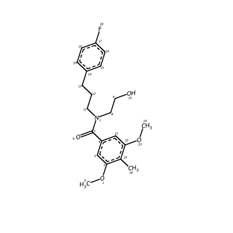 COc1cc(C(=O)N(CCO)CCCc2ccc(F)cc2)cc(OC)c1C